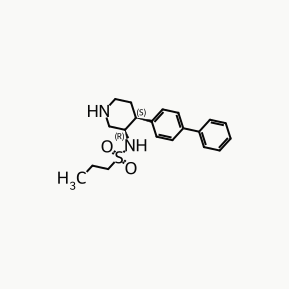 CCCS(=O)(=O)N[C@H]1CNCC[C@H]1c1ccc(-c2ccccc2)cc1